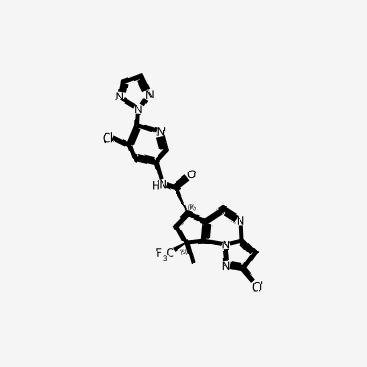 C[C@]1(C(F)(F)F)C[C@@H](C(=O)Nc2cnc(-n3nccn3)c(Cl)c2)c2cnc3cc(Cl)nn3c21